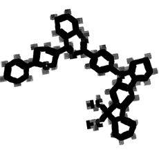 CC1(C)c2ccccc2-c2cc3c4ccccc4n(-c4ccc(-c5nc(C6=CC=C(C7=CC=CCC7)CC6)c6ccccc6n5)cc4)c3cc21